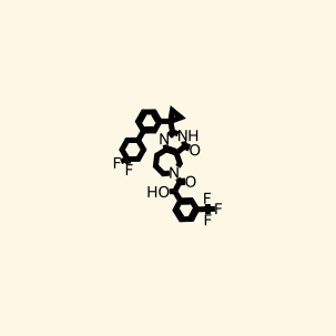 O=C(C(O)c1cccc(C(F)(F)F)c1)N1CCCc2nc(C3(c4cccc(C5CCC(F)(F)CC5)c4)CC3)[nH]c(=O)c2C1